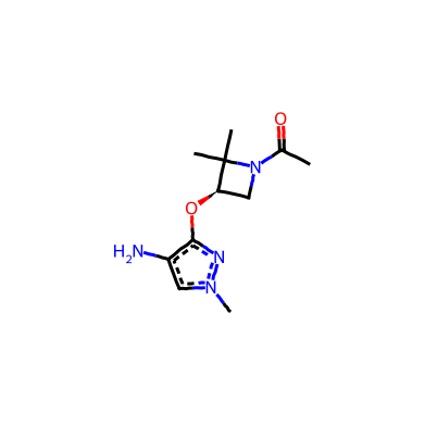 CC(=O)N1C[C@@H](Oc2nn(C)cc2N)C1(C)C